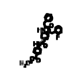 CCOC(=O)c1ccc(NC(=O)N2CCC3(CC2)NC(Cc2ccccc2)C(=O)N3Cc2ccccc2F)cc1